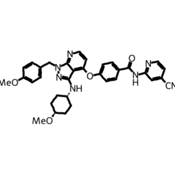 COc1ccc(Cn2nc(N[C@H]3CC[C@H](OC)CC3)c3c(Oc4ccc(C(=O)Nc5cc(C#N)ccn5)cc4)ccnc32)cc1